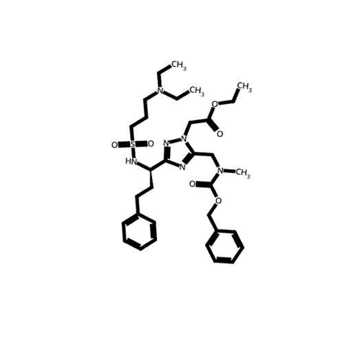 CCOC(=O)Cn1nc([C@@H](CCc2ccccc2)NS(=O)(=O)CCCN(CC)CC)nc1CN(C)C(=O)OCc1ccccc1